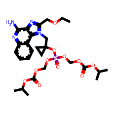 CCOCc1nc2c(N)nc3ccccc3c2n1CC1(OP(=O)(OCOC(=O)OC(C)C)OCOC(=O)OC(C)C)CC1